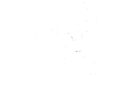 CC(C)[C@H](NC(=O)Cc1ccccc1F)C(=O)N[C@]1(C(=O)N[C@H](c2nc(C(F)(F)F)cs2)C(C)C)CCc2[nH]c3c(C(F)(F)F)cccc3c2C1